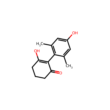 Cc1cc(O)cc(C)c1C1=C(O)CCCC1=O